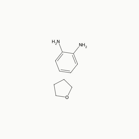 C1CCOC1.Nc1ccccc1N